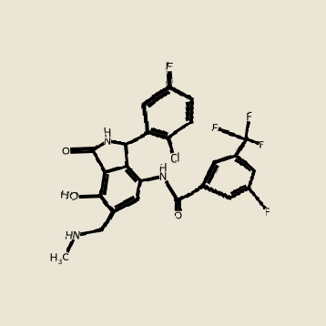 CNCc1cc(NC(=O)c2cc(F)cc(C(F)(F)F)c2)c2c(c1O)C(=O)NC2c1cc(F)ccc1Cl